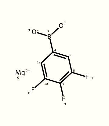 [Mg+2].[O-]B([O-])c1cc(F)c(F)c(F)c1